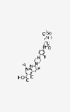 CS(=O)(=O)NCC1CN(c2ccc(N3CCN(c4nc5c(cc4F)c(=O)c(C(=O)O)cn5C4CC4)CC3)c(F)c2)C(=O)O1